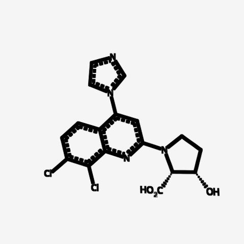 O=C(O)[C@H]1[C@@H](O)CCN1c1cc(-n2ccnc2)c2ccc(Cl)c(Cl)c2n1